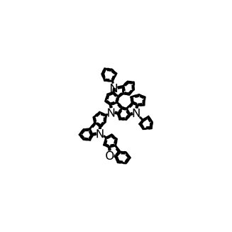 c1ccc(-n2c3ccccc3c3c4c5c6c7ccccc7n(-c7ccccc7)c6ccc5n(-c5ccc6c7ccccc7n(-c7ccc8c(c7)oc7ccccc78)c6c5)c4ccc32)cc1